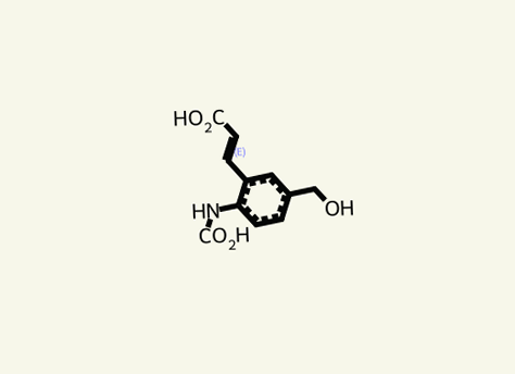 O=C(O)/C=C/c1cc(CO)ccc1NC(=O)O